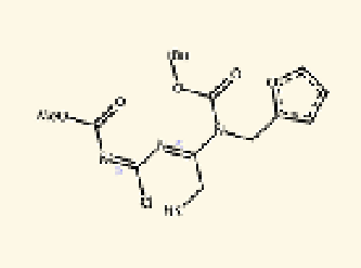 COC(=O)/N=C(Cl)\N=C(/CS)N(Cc1ccco1)C(=O)OC(C)(C)C